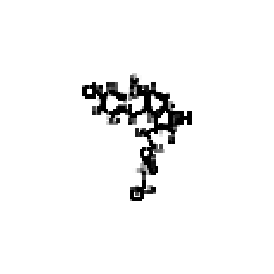 COc1ccc2[nH]c(C)c(CCON=CC=O)c2c1Cc1ccc(Cl)cc1